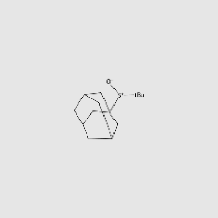 CC(C)(C)[S+]([O-])C12CC3CC(CC(C3)C1)C2